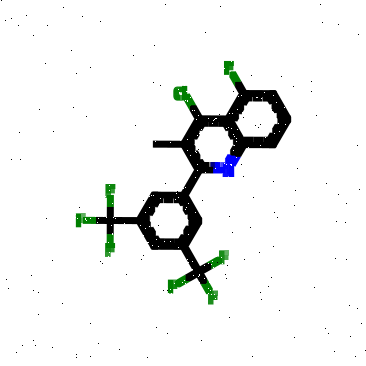 Cc1c(-c2cc(C(F)(F)F)cc(C(F)(F)F)c2)nc2cccc(F)c2c1Cl